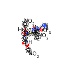 C[C@@H](NC(=O)Cn1nnnc1C(F)(F)F)[C@H]1C(=O)N2C(C(=O)O)=C(S[C@H]3C[C@@H](C(=O)N4CC[C@@H](NC(=O)OCc5ccc([N+](=O)[O-])cc5)C4)N(C(=O)OCc4ccc([N+](=O)[O-])cc4)C3)[C@](C)(Cc3ccccc3[N+](=O)[O-])[C@H]12